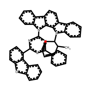 CC1C=CC=CC1n1c2ccccc2c2ccc3c4ccccc4n(-c4nc(-c5ccccc5)nc(-c5cccc6oc7ccccc7c56)n4)c3c21